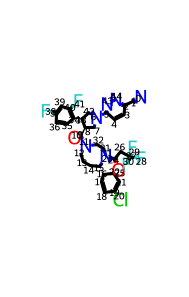 N#Cc1ccc(N2C[C@@H](C(=O)N3CCC[C@@H](C4C=CC(Cl)=CC4)N(C(=O)CC(F)(F)F)CC3)[C@H](c3ccc(F)cc3F)C2)nn1